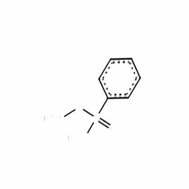 O=P(OS(=O)(=O)O)(c1ccccc1)S(=O)(=O)O